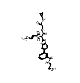 COCCS(=O)(=O)C(C(=O)NCC(=O)NC1CC1)c1nc2cc(-c3cccc(C(=O)NCCO)c3)ccc2s1